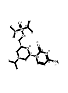 CC(C)N1C[C@@H](COP(=O)(C(C)C)N(C)C)O[C@@H](n2ccc(N)nc2=O)C1